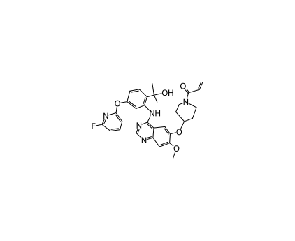 C=CC(=O)N1CCC(Oc2cc3c(Nc4cc(Oc5cccc(F)n5)ccc4C(C)(C)O)ncnc3cc2OC)CC1